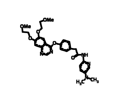 COCCOc1cc2ncnc(Oc3ccc(CC(=O)Nc4ccc(N(C)C)cn4)cc3)c2cc1OCCOC